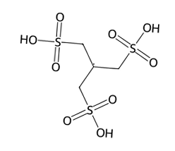 O=S(=O)(O)C[C](CS(=O)(=O)O)CS(=O)(=O)O